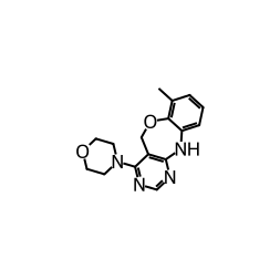 Cc1cccc2c1OCc1c(ncnc1N1CCOCC1)N2